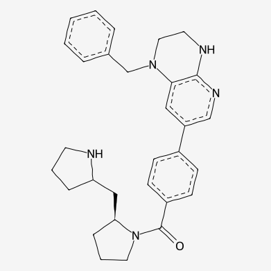 O=C(c1ccc(-c2cnc3c(c2)N(Cc2ccccc2)CCN3)cc1)N1CCC[C@H]1CC1CCCN1